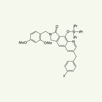 COc1ccc(CN2Cc3cc4cc(Cc5ccc(F)cc5)cnc4c(O[Si](C(C)C)(C(C)C)C(C)C)c3C2=O)c(OC)c1